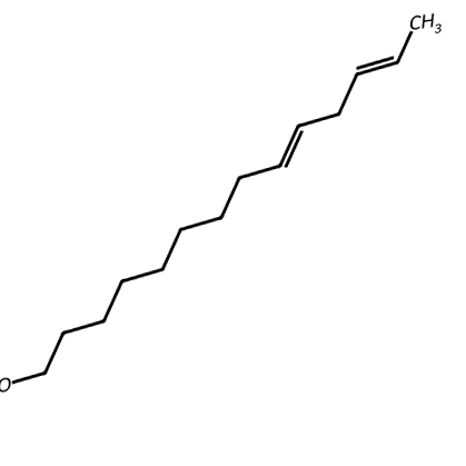 CC=CCC=CCCCCCCCCO